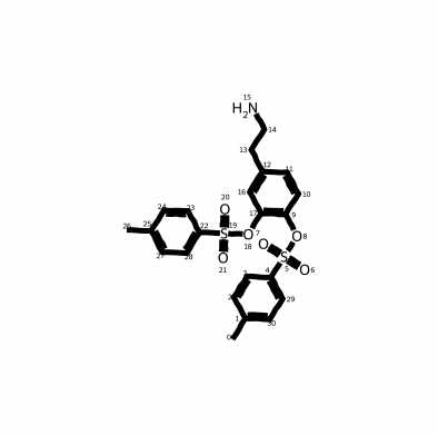 Cc1ccc(S(=O)(=O)Oc2ccc(CCN)cc2OS(=O)(=O)c2ccc(C)cc2)cc1